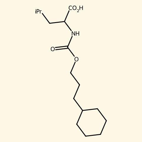 CC(C)CC(NC(=O)OCCCC1CCCCC1)C(=O)O